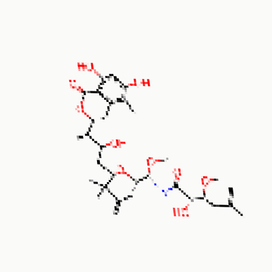 C=C(C)C[C@H](OC)[C@H](O)C(=O)N[C@@H](OC)[C@@H]1CC(=C)C(C)(C)C(C[C@H](O)[C@@H](C)[C@H]2Cc3c(C)c(O)cc(O)c3C(=O)O2)O1